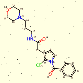 O=C(Cc1ccn(C(=O)c2ccccc2)c1Cl)NCCCN1CCOCC1